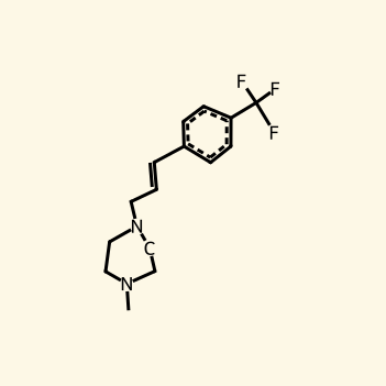 CN1CCN(C/C=C/c2ccc(C(F)(F)F)cc2)CC1